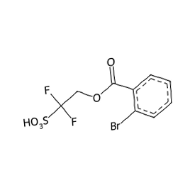 O=C(OCC(F)(F)S(=O)(=O)O)c1ccccc1Br